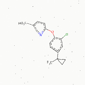 O=C(O)c1ccc(Oc2ccc(C3(C(F)(F)F)CC3)cc2Cl)nc1